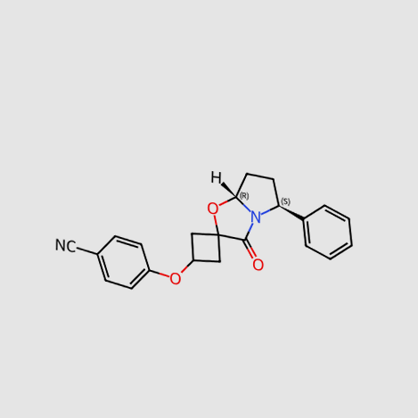 N#Cc1ccc(OC2CC3(C2)O[C@@H]2CC[C@@H](c4ccccc4)N2C3=O)cc1